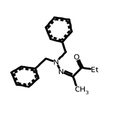 CCC(=O)C(C)=NN(Cc1ccccc1)Cc1ccccc1